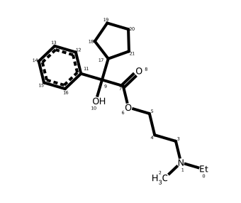 CCN(C)CCCOC(=O)C(O)(c1ccccc1)C1CCCC1